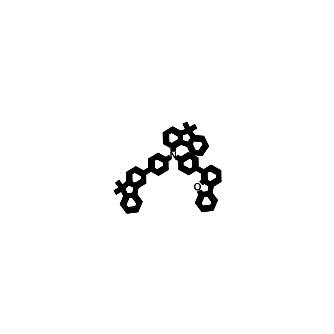 CC1(C)c2ccccc2-c2cc(-c3ccc(N(c4ccc(-c5cccc6c5oc5ccccc56)cc4)c4cccc5c4-c4ccccc4C5(C)C)cc3)ccc21